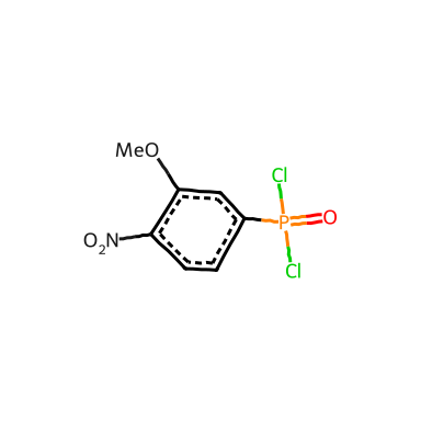 COc1cc(P(=O)(Cl)Cl)ccc1[N+](=O)[O-]